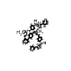 CN(CCc1ccc(Nc2nc(-c3cccnc3)cs2)cc1)CCc1cnccc1-c1ccc(CN(C)CCc2ccc(Nc3ncc(-c4cccnc4)s3)cc2)cc1